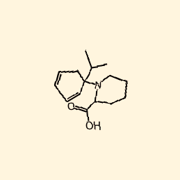 CC(C)C1(N2CCCCC2C(=O)O)C=CC=CC1